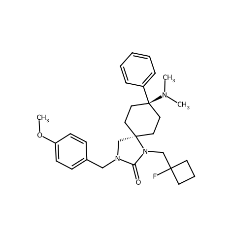 COc1ccc(CN2C[C@]3(CC[C@](c4ccccc4)(N(C)C)CC3)N(CC3(F)CCC3)C2=O)cc1